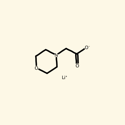 O=C([O-])CN1CCOCC1.[Li+]